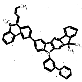 C=c1/c(=C\C=C/C)c2ccc(-c3ccc4c(c3)c3cc5c(cc3n4-c3cccc(-c4ccccc4)c3)C(C)(C)c3ccccc3-5)cc2c2ccccc12